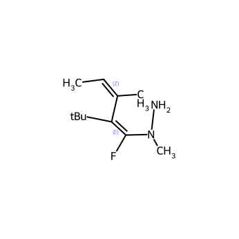 C/C=C(C)\C(=C(\F)N(C)N)C(C)(C)C